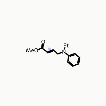 CCN(C/C=C/C(=O)OC)c1ccccc1